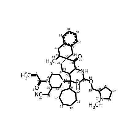 C=CC(=O)N1CCN(C2(C3CCCCCC3)NC(OCC3CCCN3C)NC3C(=O)[C@]4(CCC32)Cc2ccccc2CC4C)CC1CC#N